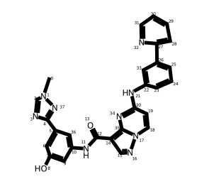 Cn1cnc(-c2cc(O)cc(NC(=O)c3cnn4ccc(Nc5cccc(-c6ccccn6)c5)nc34)c2)n1